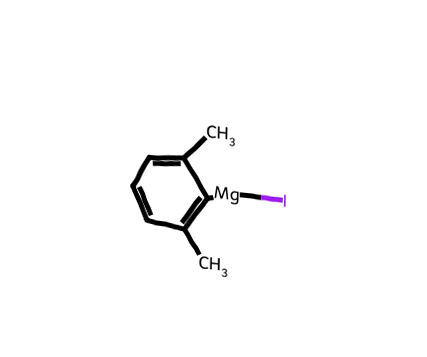 Cc1cccc(C)[c]1[Mg][I]